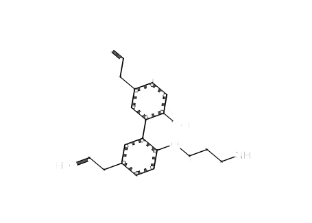 C=CCc1ccc(O)c(-c2cc(CC=C)ccc2OCCCN)c1